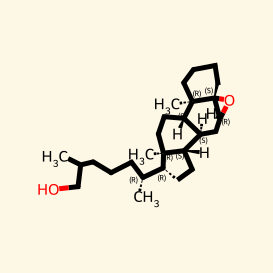 CC(CO)CCC[C@@H](C)[C@H]1CC[C@H]2[C@@H]3C[C@H]4O[C@]45CCCC[C@]5(C)[C@H]3CC[C@]12C